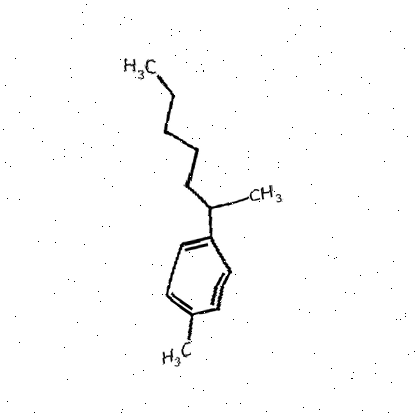 CCCCCC(C)c1ccc(C)cc1